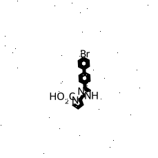 O=C(O)N1CCCC1c1nc(-c2ccc(-c3ccc(Br)cc3)cc2)c[nH]1